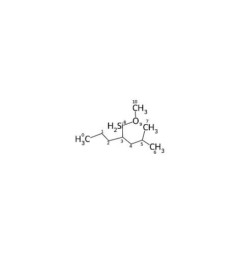 CCCC(CC(C)C)[SiH2]OC